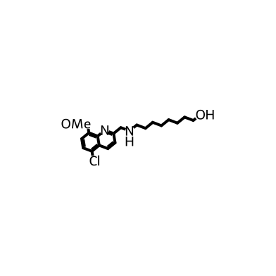 COc1ccc(Cl)c2ccc(CNCCCCCCCCO)nc12